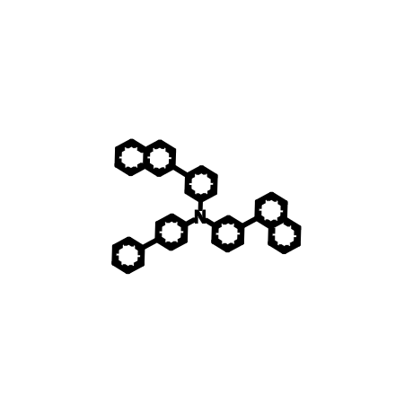 c1ccc(-c2ccc(N(c3cccc(-c4ccc5ccccc5c4)c3)c3cccc(-c4cccc5ccccc45)c3)cc2)cc1